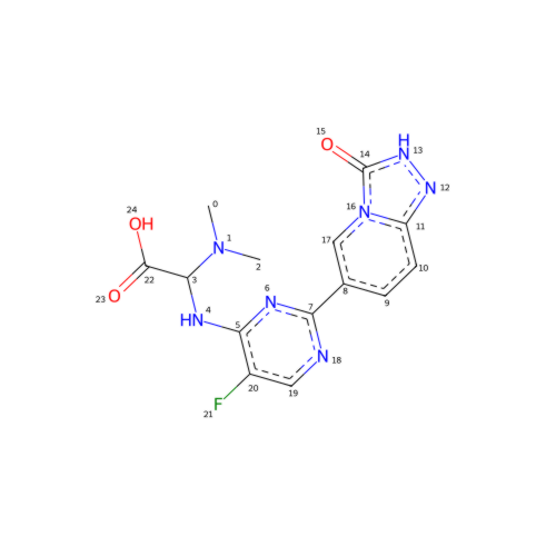 CN(C)C(Nc1nc(-c2ccc3n[nH]c(=O)n3c2)ncc1F)C(=O)O